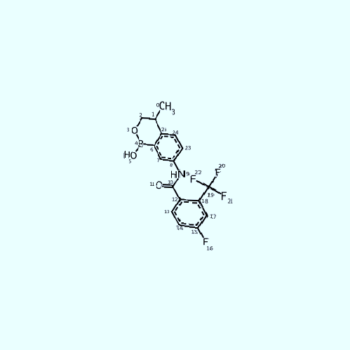 CC1COB(O)c2cc(NC(=O)c3ccc(F)cc3C(F)(F)F)ccc21